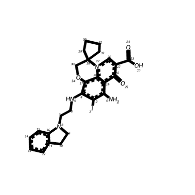 Nc1c(I)c(NCCN2CCc3ccccc32)c2c3c1c(=O)c(C(=O)O)cn3C1(CCCC1)CO2